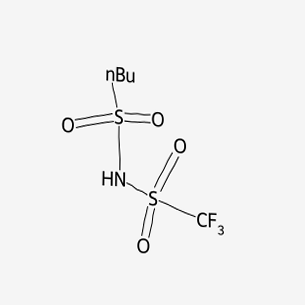 CCCCS(=O)(=O)NS(=O)(=O)C(F)(F)F